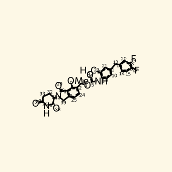 COc1c(COC(=O)Nc2ccc(Cc3ccc(F)c(F)c3)cc2C)ccc2c1C(=O)N(C1CCC(=O)NC1=O)C2